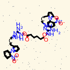 NC(=NNC=C=Cc1cccn1-c1ccccc1[N+](=O)[O-])NOC(=O)CCCCC(=O)ONC(N)=NNC=C=Cc1cccn1-c1ccccc1[N+](=O)[O-]